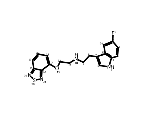 Fc1ccc2[nH]cc(CCNCCOc3cccc4nsnc34)c2c1